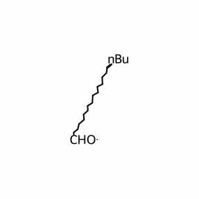 CCCCC=CCCCCCCCCCCCCCC[C]=O